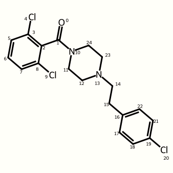 O=C(c1c(Cl)cccc1Cl)N1CCN(CCc2ccc(Cl)cc2)CC1